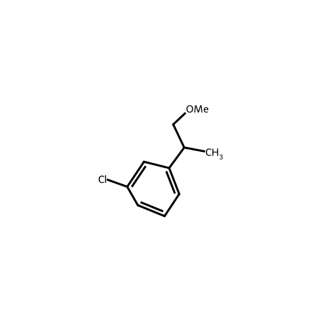 COCC(C)c1cccc(Cl)c1